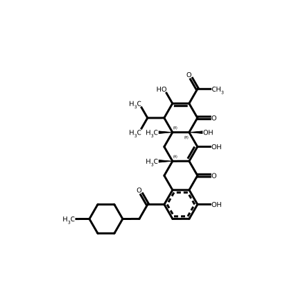 CC(=O)C1=C(O)C(C(C)C)[C@@]2(C)C[C@@]3(C)Cc4c(C(=O)CC5CCC(C)CC5)ccc(O)c4C(=O)C3=C(O)[C@@]2(O)C1=O